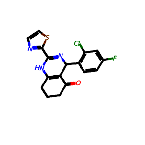 O=C1CCCC2=C1C(c1ccc(F)cc1Cl)N=C(c1nccs1)N2